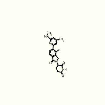 CNc1cc(C)cc(-c2ccc3c(c2F)CN(C2CCC(=O)NC2=O)C3=O)n1